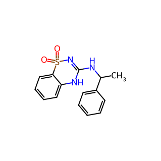 CC(NC1=NS(=O)(=O)c2ccccc2N1)c1ccccc1